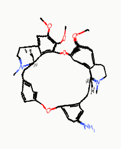 COc1cc2c3cc1Oc1c(OC)c(OC)cc4c1[C@H](Cc1ccc(cc1)Oc1cc(N)cc(c1)C[C@H]3N(C)CC2)N(C)CC4